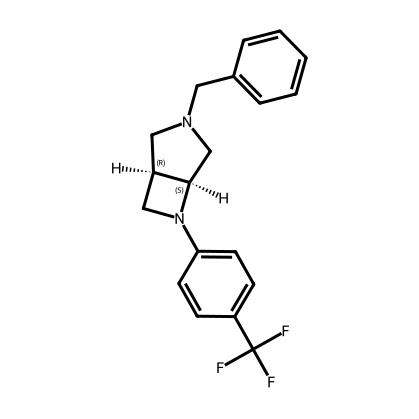 FC(F)(F)c1ccc(N2C[C@H]3CN(Cc4ccccc4)C[C@H]32)cc1